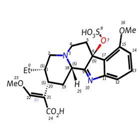 CC[C@@H]1CN2CC[C@@]3(OS(=O)(=O)O)C(=Nc4cccc(OC)c43)[C@@H]2C[C@@H]1/C(=C\OC)C(=O)O